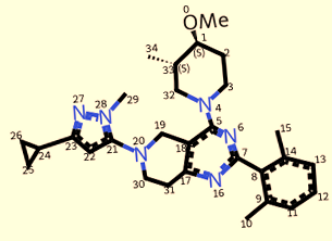 CO[C@H]1CCN(c2nc(-c3c(C)cccc3C)nc3c2CN(c2cc(C4CC4)nn2C)CC3)C[C@@H]1C